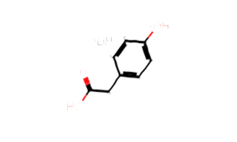 O=C(O)Cc1ccc(O)cc1.[LiH]